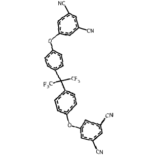 N#Cc1cc(C#N)cc(Oc2ccc(C(c3ccc(Oc4cc(C#N)cc(C#N)c4)cc3)(C(F)(F)F)C(F)(F)F)cc2)c1